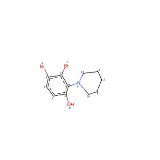 Oc1ccc(Br)c(Br)c1N1CCCCC1